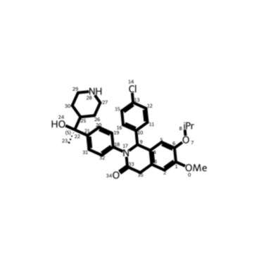 COc1cc2c(cc1OC(C)C)C(c1ccc(Cl)cc1)N(c1ccc([C@@](C)(O)C3CCNCC3)cc1)C(=O)C2